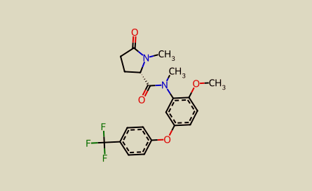 COc1ccc(Oc2ccc(C(F)(F)F)cc2)cc1N(C)C(=O)[C@@H]1CCC(=O)N1C